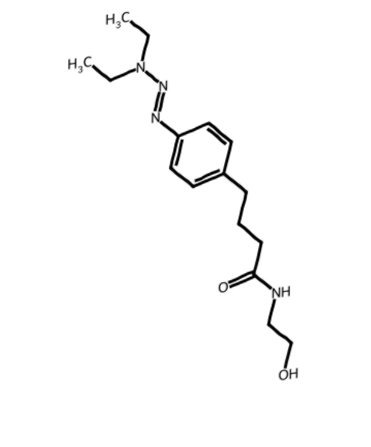 CCN(CC)/N=N/c1ccc(CCCC(=O)NCCO)cc1